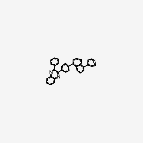 c1ccc(-c2nc3ccccc3nc2-c2ccc(-c3cccc4c(-c5ccncc5)cccc34)cc2)cc1